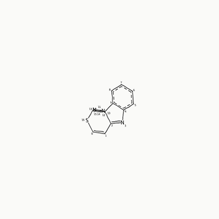 C1=CC2=Nc3ccccc3C23CN=NC=C3S1